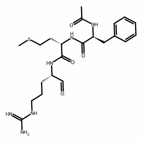 CSCC[C@H](NC(=O)[C@H](Cc1ccccc1)NC(C)=O)C(=O)N[C@H](C=O)CCCNC(=N)N